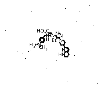 CCc1c(NC[C@H](NCc2ccc(N(C)C)cc2)C(=O)O)ncnc1N1CCC(c2ccc3c(n2)NCCC3)CC1